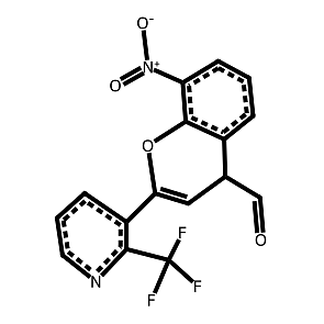 O=CC1C=C(c2cccnc2C(F)(F)F)Oc2c1cccc2[N+](=O)[O-]